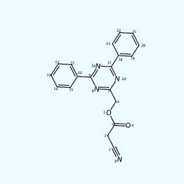 N#CCC(=O)OCc1nc(-c2ccccc2)nc(-c2ccccc2)n1